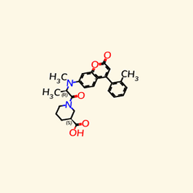 Cc1ccccc1-c1cc(=O)oc2cc(N(C)[C@H](C)C(=O)N3CCC[C@H](C(=O)O)C3)ccc12